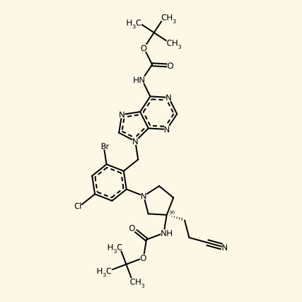 CC(C)(C)OC(=O)Nc1ncnc2c1ncn2Cc1c(Br)cc(Cl)cc1N1CC[C@@](CCC#N)(NC(=O)OC(C)(C)C)C1